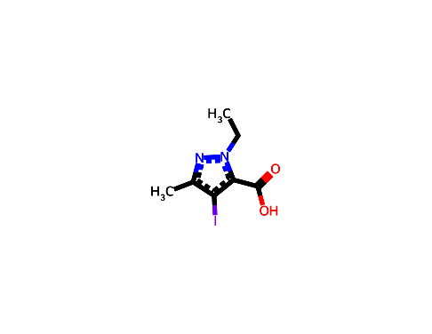 CCn1nc(C)c(I)c1C(=O)O